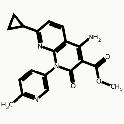 COC(=O)c1c(N)c2ccc(C3CC3)nc2n(-c2ccc(C)nc2)c1=O